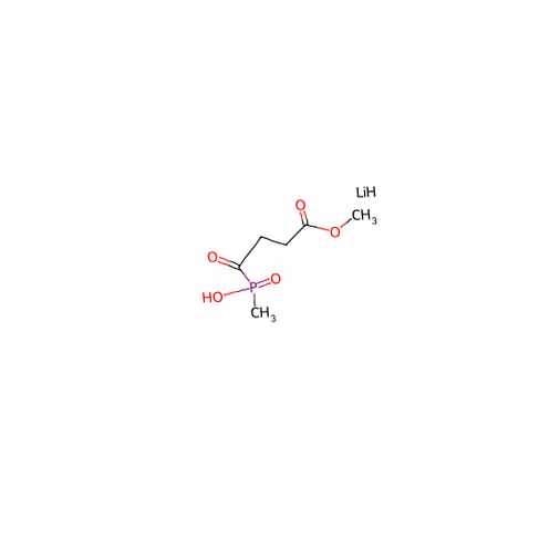 COC(=O)CCC(=O)P(C)(=O)O.[LiH]